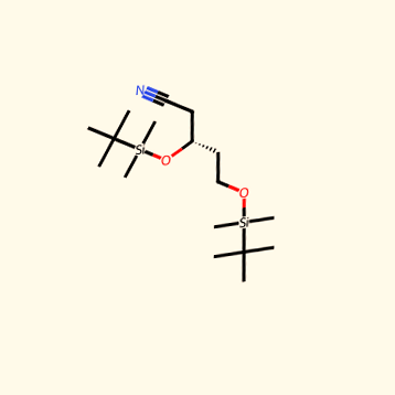 CC(C)(C)[Si](C)(C)OCC[C@@H](CC#N)O[Si](C)(C)C(C)(C)C